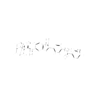 O=C(Nc1ccc(-c2cc3cc(NC(=O)C45CC6CC(CC(C6)C4)C5)ccc3[nH]2)cc1)c1cccnc1